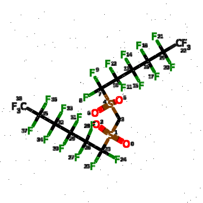 O=S(=O)(CS(=O)(=O)C(F)(F)C(F)(F)C(F)(F)C(F)(F)C(F)(F)C(F)(F)F)C(F)(F)C(F)(F)C(F)(F)C(F)(F)C(F)(F)C(F)(F)F